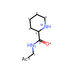 CC(=O)CNC(=O)C1CCCCN1